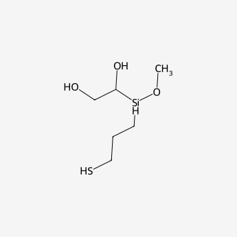 CO[SiH](CCCS)C(O)CO